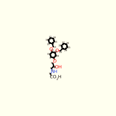 O=C(O)CNC[C@@H](O)COc1ccc(OCc2ccccc2)c(OCc2ccccc2)c1